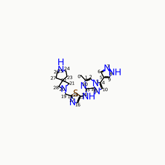 Cc1cn2c(-c3cn[nH]c3)cnc2c(Nc2cnc(CN3CC4(CCNCC4)C3)s2)n1